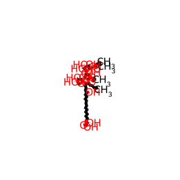 CCCCCCC(CCCC(O)CCCCCCCCCCCCC[C@H](O)C(=O)O)O[C@H]1OC[C@H](O)[C@@H](O)[C@@H]1O[C@H]1OC[C@H](OC(C)=O)[C@@H](O)[C@@H]1O[C@H]1O[C@@H](COC(=O)CC(C)C)[C@H](O)[C@@H](O)[C@@H]1O